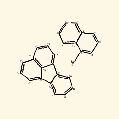 CC(=O)c1cccc2ccccc12.c1ccc2c(c1)-c1cccc3cccc-2c13